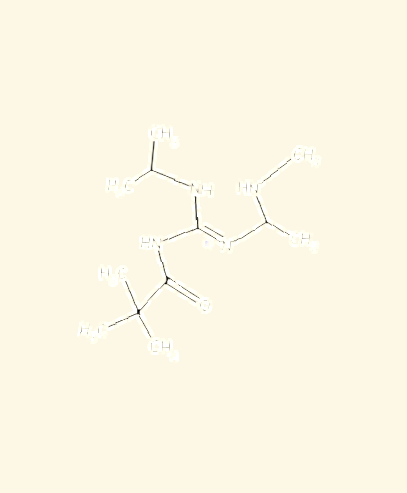 CNC(C)/N=C(/NC(=O)C(C)(C)C)NC(C)C